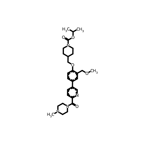 COCc1cc(-c2ccc(C(=O)N3CCN(C)CC3)nc2)ccc1OCC1CCN(C(=O)OC(C)C)CC1